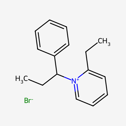 CCc1cccc[n+]1C(CC)c1ccccc1.[Br-]